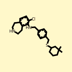 CC1(C)CCCC(SCc2ccc(CNc3c(Cl)ccc4c3CCNCC4)cc2)C1